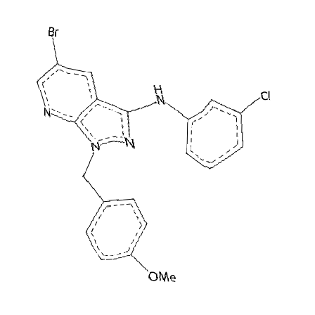 COc1ccc(Cn2nc(Nc3cccc(Cl)c3)c3cc(Br)cnc32)cc1